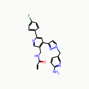 C=CC(=O)NCc1cnc(-c2ccc(F)cc2)cc1-c1ccn(Cc2ccc(N)nc2)n1